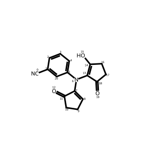 N#Cc1cccc(N(C2=CCCC2=O)C2=C(O)CCC2=O)c1